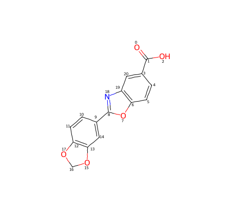 O=C(O)c1ccc2oc(-c3ccc4c(c3)OCO4)nc2c1